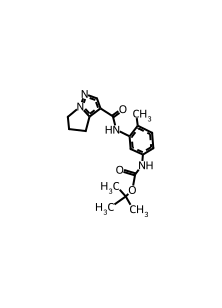 Cc1ccc(NC(=O)OC(C)(C)C)cc1NC(=O)c1cnn2c1CCC2